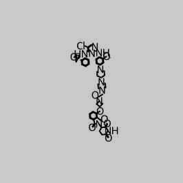 COc1cc(N2CCC(N3CCN(CC(=O)N4CC(Oc5cccc6c5C(=O)N(C5CCC(=O)NC5=O)C6=O)C4)CC3)CC2)ccc1Nc1ncc(Cl)c(Nc2ccccc2P(C)(C)=O)n1